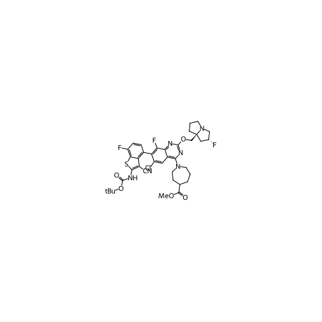 COC(=O)C1CCCN(c2nc(OC[C@@]34CCCN3C[C@H](F)C4)nc3c(F)c(-c4ccc(F)c5sc(NC(=O)OC(C)(C)C)c(C#N)c45)c(Cl)cc23)CC1